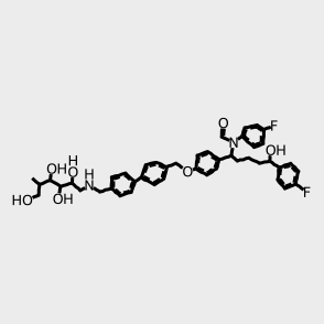 CC(CO)C(O)C(O)C(O)CNCc1ccc(-c2ccc(COc3ccc(C(CCCC(O)c4ccc(F)cc4)N(C=O)c4ccc(F)cc4)cc3)cc2)cc1